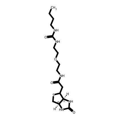 CCCCNC(=O)NCCOCCNC(=O)CC1SC[C@@H]2NC(=O)N[C@H]12